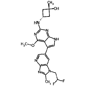 COc1nc(N[C@H]2C[C@@](C)(O)C2)nc2[nH]cc(-c3cnc4nc(C)n(CC(F)F)c4c3)c12